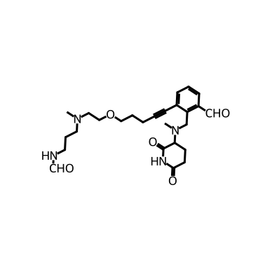 CN(CCCNC=O)CCOCCCC#Cc1cccc(C=O)c1CN(C)C1CCC(=O)NC1=O